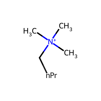 CCCC[N+](C)(C)C